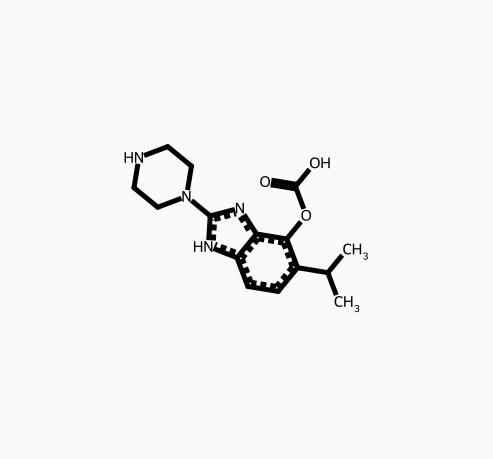 CC(C)c1ccc2[nH]c(N3CCNCC3)nc2c1OC(=O)O